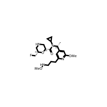 CONCCCc1cc([C@@H](C)N(C(=O)[C@H]2CNC[C@@H](CF)O2)C2CC2)cc(OC)n1